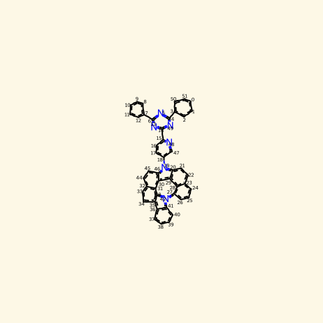 c1ccc(-c2nc(-c3ccccc3)nc(-c3ccc(-n4c5ccc6cccc7c6c5c5c6c(ccc8c9ccccc9n7c86)ccc54)cn3)n2)cc1